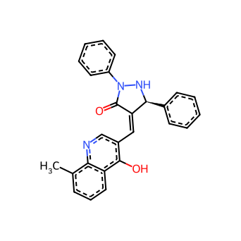 Cc1cccc2c(O)c(C=C3C(=O)N(c4ccccc4)N[C@H]3c3ccccc3)cnc12